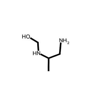 CC(CN)NCO